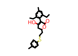 CCc1cc(C)cc(CC)c1C1=C(O)CC(CCSc2ccc(C)cc2)OC1=O